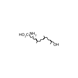 CC(=CCSC[C@H](N)C(=O)O)CCC=C(C)CC/C=C(\C)CO